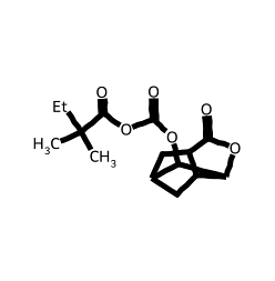 CCC(C)(C)C(=O)OC(=O)OC1C2CC3C(=O)OC1C3C2